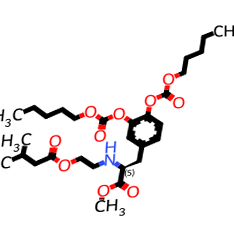 CCCCCOC(=O)Oc1ccc(C[C@H](NCCOC(=O)CC(C)C)C(=O)OC)cc1OC(=O)OCCCCC